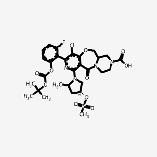 CC1C[C@@H](OS(C)(=O)=O)CN1c1nc(-c2c(F)cccc2OC(=O)OC(C)(C)C)c(Cl)c2c1C(=O)N1CCN(C(=O)O)CC1CO2